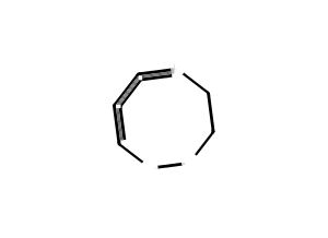 C1=C=PCCOOC=1